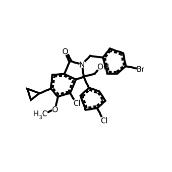 COc1c(C2CC2)cc2c(c1Cl)C(CO)(c1ccc(Cl)cc1)N(Cc1ccc(Br)cc1)C2=O